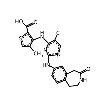 Cc1csc(C(=O)O)c1Nc1nc(Nc2ccc3c(c2)CC(=O)NCC3)ncc1Cl